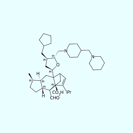 CC(C)C1=CC2CC3(C=O)[C@@H]4CC[C@@H](C)[C@H]4CC2([C@H]2C[C@@H](CC4CCCC4)[C@H](CN4CCC(CN5CCCCC5)CC4)O2)[C@]13C(=O)O